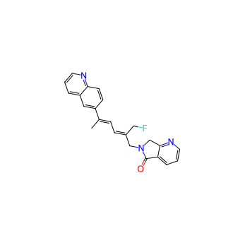 C/C(=C\C=C(/CF)CN1Cc2ncccc2C1=O)c1ccc2ncccc2c1